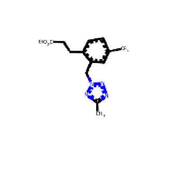 CCOC(=O)CCc1ccc(C(F)(F)F)cc1Cn1nnc(C)n1